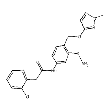 Cn1ccc(OCc2ccc(NC(=O)Cc3ccccc3Cl)cc2SN)n1